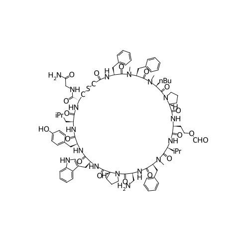 CCCC[C@H]1C(=O)N2CCC[C@@H]2C(=O)N[C@@H](CCOC=O)C(=O)N[C@@H](C(C)C)C(=O)N(C)[C@@H](Cc2ccccc2)C(=O)N[C@@H](CN)C(=O)N2CCC[C@@H]2C(=O)N[C@@H](Cc2c[nH]c3ccccc23)C(=O)N[C@@H](Cc2ccc(O)cc2)C(=O)N[C@@H](CC(C)C)C(=O)N[C@H](C(=O)NCC(N)=O)CSCC(=O)N[C@@H](Cc2ccccc2)C(=O)N(C)[C@@H](Cc2ccccc2)C(=O)N1C